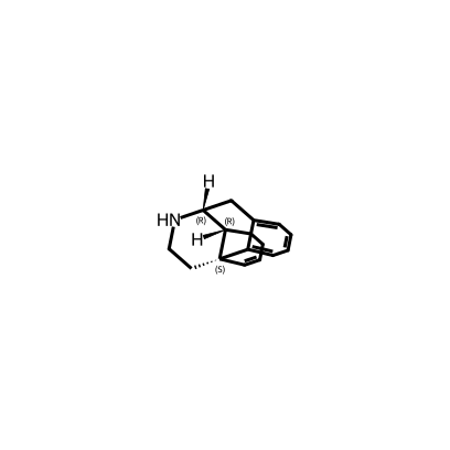 C1=C[C@]23CCN[C@H](Cc4ccccc42)[C@@H]3CC1